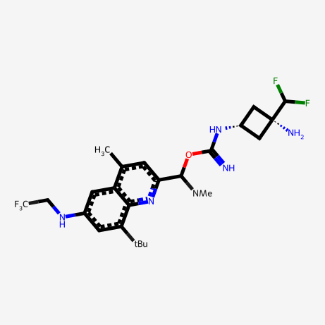 CNC(OC(=N)N[C@H]1C[C@](N)(C(F)F)C1)c1cc(C)c2cc(NCC(F)(F)F)cc(C(C)(C)C)c2n1